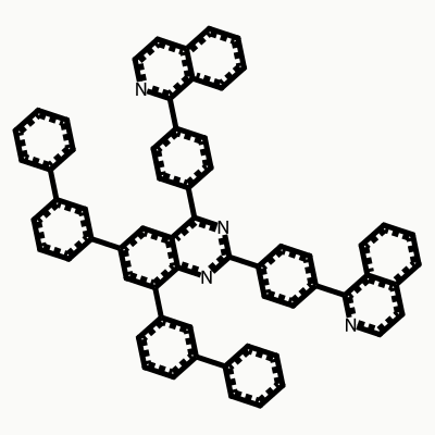 c1ccc(-c2cccc(-c3cc(-c4cccc(-c5ccccc5)c4)c4nc(-c5ccc(-c6nccc7ccccc67)cc5)nc(-c5ccc(-c6nccc7ccccc67)cc5)c4c3)c2)cc1